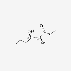 CCC[C@@H](O)[C@H](O)C(=O)OC